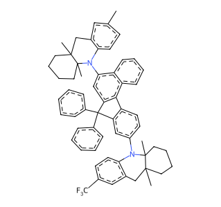 Cc1ccc2c(c1)CC1(C)CCCCC1(C)N2c1cc2c(c3ccccc13)-c1ccc(N3c4ccc(C(F)(F)F)cc4CC4(C)CCCCC34C)cc1C2(c1ccccc1)c1ccccc1